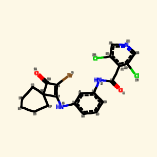 O=C(Nc1[c]c(NC2=C(Br)C(=O)C23CCCCC3)ccc1)c1c(Cl)cncc1Cl